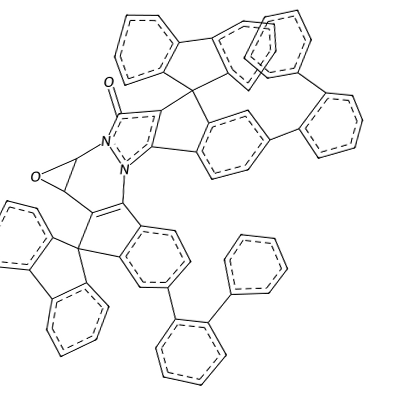 O=c1c2c(n3n1C1OC1C1=C3c3ccc(-c4ccccc4-c4ccccc4)cc3C13c1ccccc1-c1ccccc13)-c1ccc(-c3ccccc3-c3ccccc3)cc1C21c2ccccc2-c2ccccc21